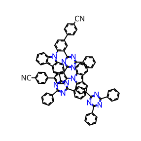 N#Cc1ccc(-c2ccc(-n3c4ccccc4c4cc(-c5nc(-c6ccccc6)nc(-c6ccccc6)n5)ccc43)c(-c3nc(-c4ccccc4)nc(-c4cc(-c5ccc(C#N)cc5)ccc4-n4c5ccccc5c5cc(-c6nc(-c7ccccc7)nc(-c7ccccc7)n6)ccc54)n3)c2)cc1